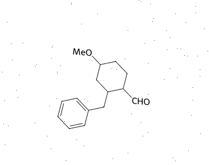 COC1CCC(C=O)C(Cc2ccccc2)C1